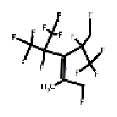 C/C(CF)=C(/C(F)(CF)C(F)(F)F)C(F)(C(F)(F)F)C(F)(F)F